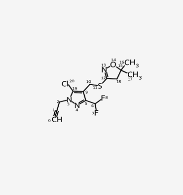 C#CCn1nc(C(F)F)c(CSC2=NOC(C)(C)C2)c1Cl